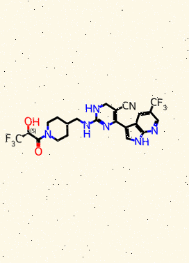 N#CC1=C(c2c[nH]c3ncc(C(F)(F)F)cc23)N=C(NCC2CCN(C(=O)[C@H](O)C(F)(F)F)CC2)NC1